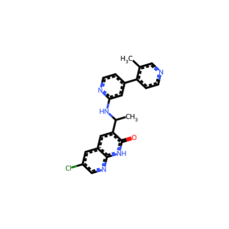 Cc1cnccc1-c1ccnc(NC(C)c2cc3cc(Cl)cnc3[nH]c2=O)c1